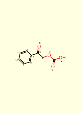 O=C(O)OCC(=O)c1ccccc1